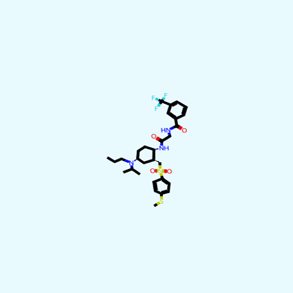 CCCN(C(C)C)[C@@H]1CC[C@H](NC(=O)CNC(=O)c2cccc(C(F)(F)F)c2)[C@H](CS(=O)(=O)c2ccc(SC)cc2)C1